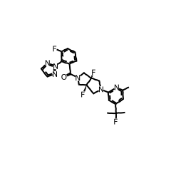 Cc1cc(C(C)(C)F)cc(N2C[C@]3(F)CN(C(=O)c4cccc(F)c4-n4nccn4)C[C@]3(F)C2)n1